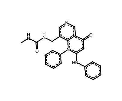 CNC(=O)NCc1cncc2c(=O)cc(Nc3ccccc3)n(-c3ccccc3)c12